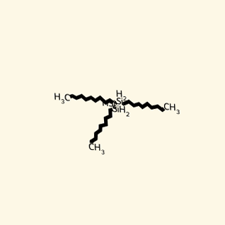 CCCCCCCCCC[SiH2][SiH](CCCCCCCCCC)[SiH2]CCCCCCCCCC